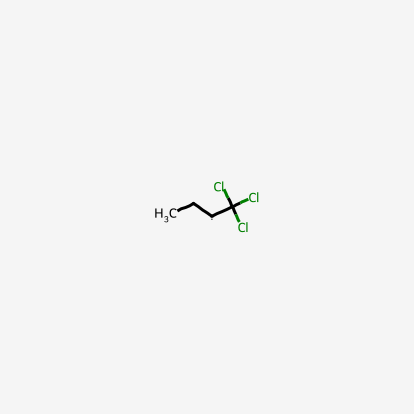 CC[CH]C(Cl)(Cl)Cl